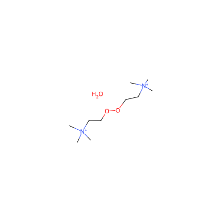 C[N+](C)(C)CCOOCC[N+](C)(C)C.O